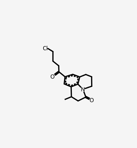 CC1CC(=O)N2CCCc3cc(C(=O)CCCCl)cc1c32